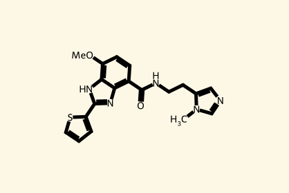 COc1ccc(C(=O)NCCc2cncn2C)c2nc(-c3cccs3)[nH]c12